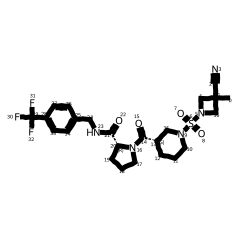 CC1(C#N)CN(S(=O)(=O)N2CCC[C@H](C(=O)N3CCC[C@@H]3C(=O)NCc3ccc(C(F)(F)F)cc3)C2)C1